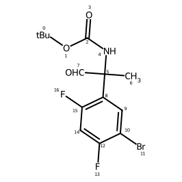 CC(C)(C)OC(=O)NC(C)(C=O)c1cc(Br)c(F)cc1F